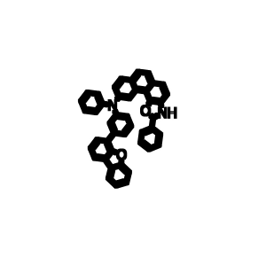 c1ccc(C2Nc3ccc4ccc5ccc(N(c6ccccc6)c6cccc(-c7cccc8c7oc7ccccc78)c6)cc5c4c3O2)cc1